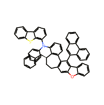 c1ccc(C[C@@H]2CCc3cc4oc5ccccc5c4c(-c4cc5ccccc5c5ccccc45)c3-c3cccc(N(c4ccccc4)c4cccc5c4sc4ccccc45)c32)cc1